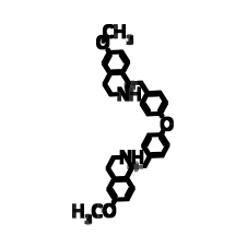 COc1ccc2c(c1)CCN[C@@H]2Cc1ccc(Oc2ccc(C[C@H]3NCCc4cc(OC)ccc43)cc2)cc1